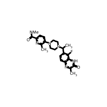 CNC(=O)c1ccc(N2CCN(C(C)c3ccc4nc(C)c(=O)[nH]c4c3F)CC2)c(C)n1